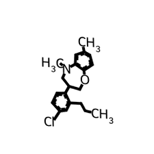 CCCc1cc(Cl)ccc1C1COc2ccc(C)cc2N(C)C1